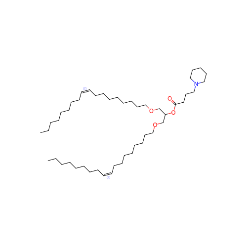 CCCCCCCC/C=C\CCCCCCCCOCC(COCCCCCCCC/C=C\CCCCCCCC)OC(=O)CCCN1CCCCC1